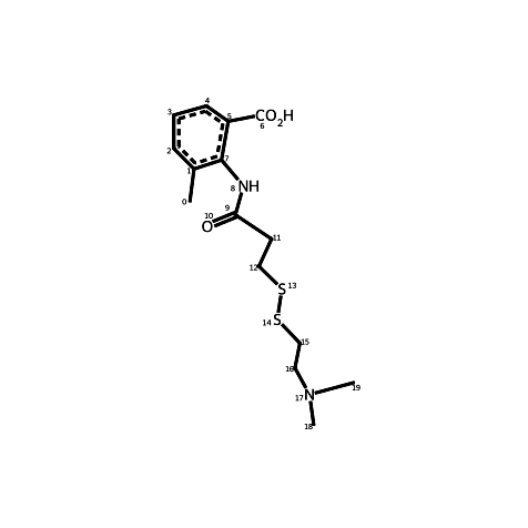 Cc1cccc(C(=O)O)c1NC(=O)CCSSCCN(C)C